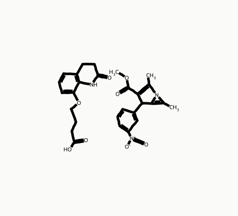 COC(=O)C1=C(C)N2C(C)=C2C1c1cccc([N+](=O)[O-])c1.O=C(O)CCCOc1cccc2c1NC(=O)CC2